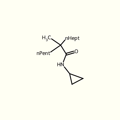 CCCCCCCC(C)(CCCCC)C(=O)NC1CC1